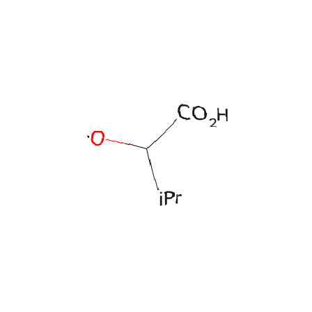 CC(C)C([O])C(=O)O